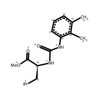 COC(=O)[C@H](CC(C)C)NC(=O)Nc1cccc(C)c1C